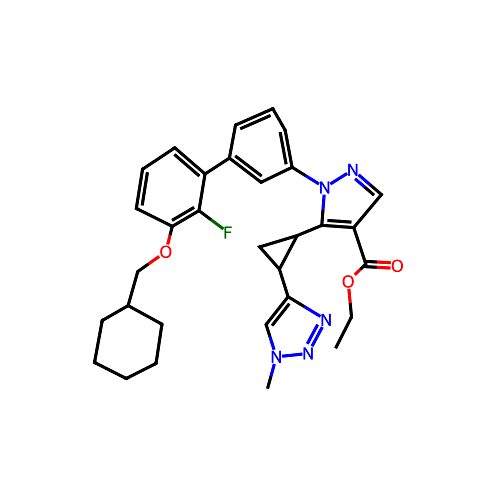 CCOC(=O)c1cnn(-c2cccc(-c3cccc(OCC4CCCCC4)c3F)c2)c1C1CC1c1cn(C)nn1